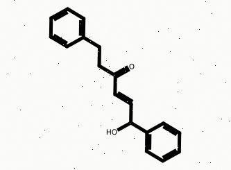 O=C(/C=C/C(O)c1ccccc1)CCc1ccccc1